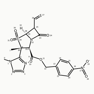 Cn1nnnc1[C@@]1(C)[C@H](C(=O)OCc2ccc([N+](=O)[O-])cc2)N2C(=O)C(C=S)[C@@H]2S1(=O)=O